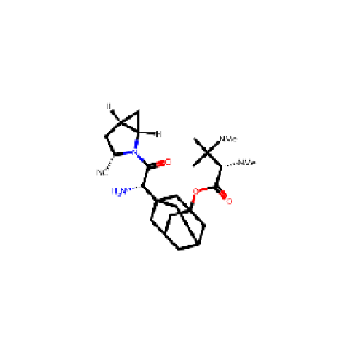 CN[C@H](C(=O)OC12CC3CC(C1)CC([C@H](N)C(=O)N1[C@H](C#N)C[C@@H]4C[C@@H]41)(C3)C2)C(C)(C)NC